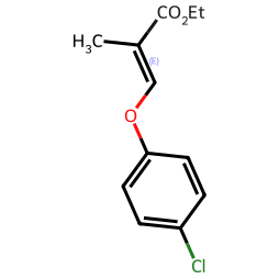 CCOC(=O)/C(C)=C/Oc1ccc(Cl)cc1